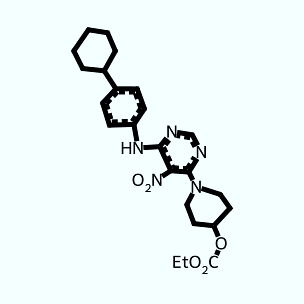 CCOC(=O)OC1CCN(c2ncnc(Nc3ccc(C4CCCCC4)cc3)c2[N+](=O)[O-])CC1